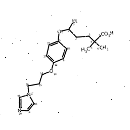 CCC(CCC(C)(C)C(=O)O)Oc1ccc(OCCCn2ccnc2)cc1